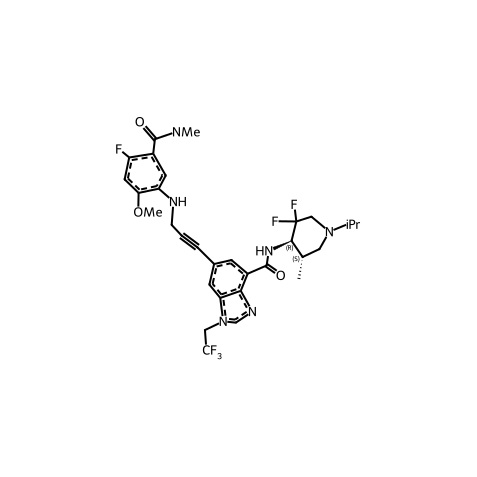 CNC(=O)c1cc(NCC#Cc2cc(C(=O)N[C@@H]3[C@@H](C)CN(C(C)C)CC3(F)F)c3ncn(CC(F)(F)F)c3c2)c(OC)cc1F